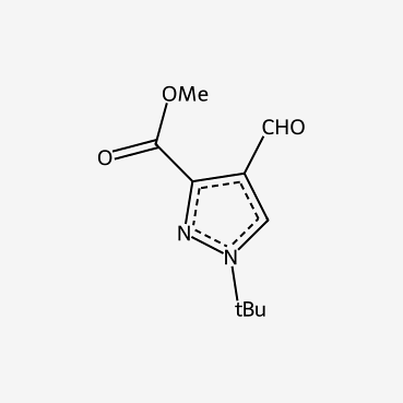 COC(=O)c1nn(C(C)(C)C)cc1C=O